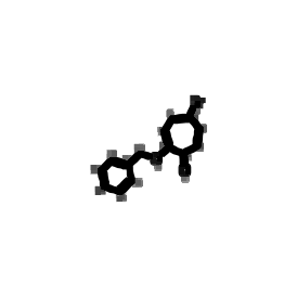 O=c1ccc(Br)ccc1OCc1ccccc1